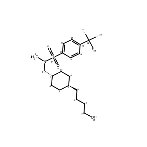 CN(C[C@H]1CC[C@H](CCCCO)CC1)S(=O)(=O)c1ccc(C(F)(F)F)cc1